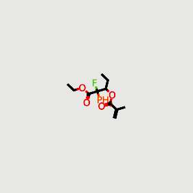 C=C(C)C(=O)OC(CC)C(F)(P)C(=O)OCC